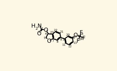 NC(=O)OC1COc2cc(-c3cccc(OC(F)(F)F)c3)ccc21